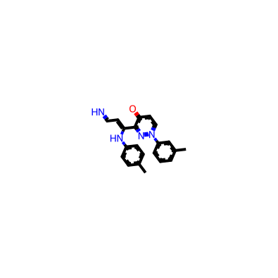 Cc1ccc(N/C(=C\C=N)c2nn(-c3cccc(C)c3)ccc2=O)cc1